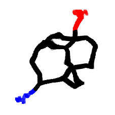 NC1C2CC3C(O)(CCC34CC14)C2